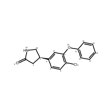 O=C1C[C@H](c2ccc(Cl)c(Oc3ccccc3)c2)CN1